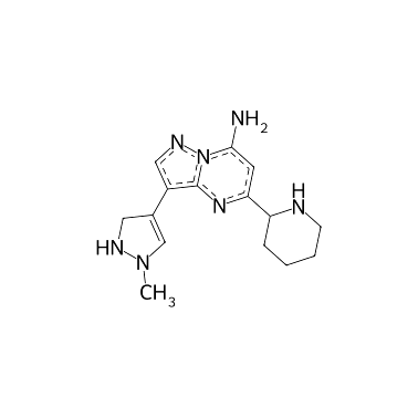 CN1C=C(c2cnn3c(N)cc(C4CCCCN4)nc23)CN1